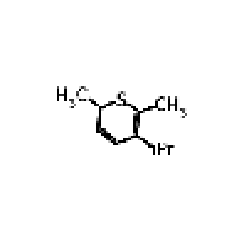 CC1=C(C(C)C)C=C[C@@H](C)S1